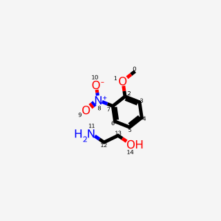 COc1ccccc1[N+](=O)[O-].NCCO